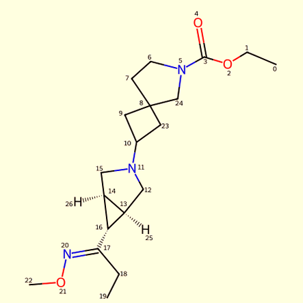 CCOC(=O)N1CCC2(CC(N3C[C@@H]4[C@H](C3)[C@H]4/C(CC)=N/OC)C2)C1